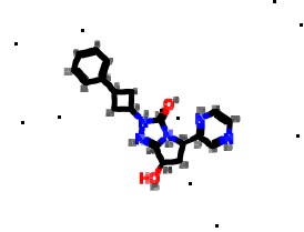 O=c1n(C2CC(c3ccccc3)C2)nc2n1[C@@H](c1cnccn1)C[C@H]2O